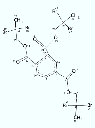 CC(Br)(Br)COC(=O)c1ccc(C(=O)OCC(C)(Br)Br)c(C(=O)OCC(C)(Br)Br)c1